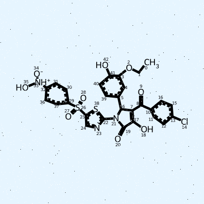 CCOc1cc(C2C(C(=O)c3ccc(Cl)cc3)=C(O)C(=O)N2c2ncc(S(=O)(=O)c3ccc([NH+]([O-])O)cc3)s2)ccc1O